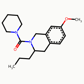 CCCC1Cc2ccc(OC)cc2CN1C(=O)N1CCCCC1